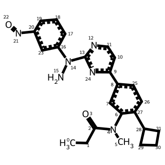 CCC(=O)N(C)c1cc(-c2ccnc(N(N)c3cccc(N=O)c3)n2)ccc1C1CCC1